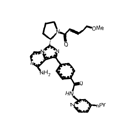 CCCc1ccnc(NC(=O)c2ccc(-c3nc([C@@H]4CCCN4C(=O)C=CCOC)n4ccnc(N)c34)cc2)c1